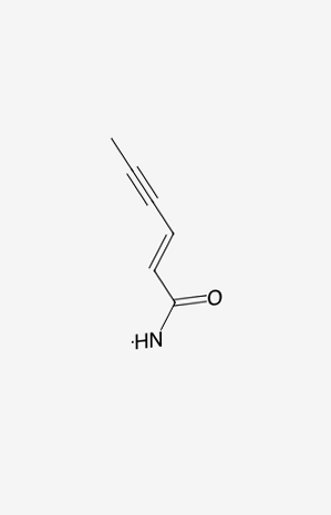 CC#CC=CC([NH])=O